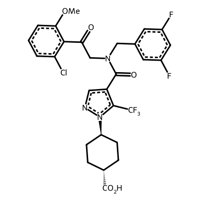 COc1cccc(Cl)c1C(=O)CN(Cc1cc(F)cc(F)c1)C(=O)c1cnn([C@H]2CC[C@H](C(=O)O)CC2)c1C(F)(F)F